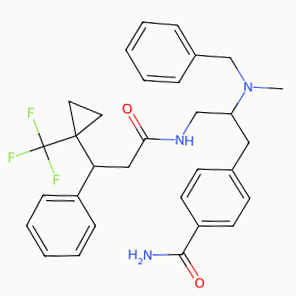 CN(Cc1ccccc1)C(CNC(=O)CC(c1ccccc1)C1(C(F)(F)F)CC1)Cc1ccc(C(N)=O)cc1